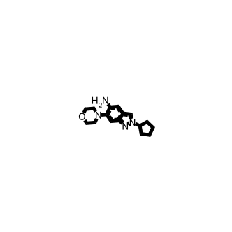 Nc1cc2cn(C3CCCC3)nc2cc1N1CCOCC1